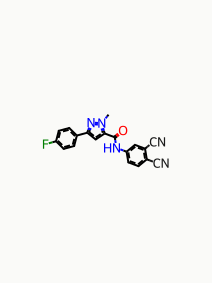 Cn1nc(-c2ccc(F)cc2)cc1C(=O)Nc1ccc(C#N)c(C#N)c1